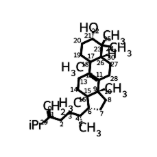 C=C(CC[C@@H](C)[C@H]1CC[C@@]2(C)C3=C(CC[C@]12C)[C@@]1(C)CC[C@H](O)C(C)(C)[C@@H]1CC3)C(C)C